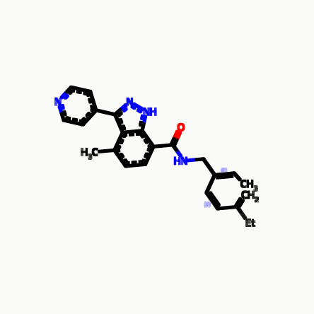 C=C(/C=C\C(=C/C)CNC(=O)c1ccc(C)c2c(-c3ccncc3)n[nH]c12)CC